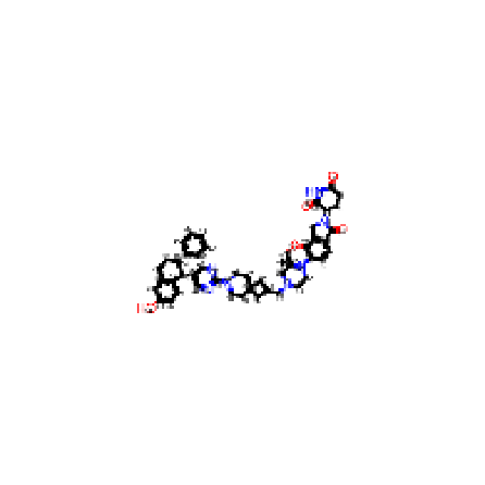 O=C1CC[C@H](N2Cc3c(ccc4c3OC[C@H]3CN(CC5CC6(CCN(c7ncc([C@@H]8c9ccc(O)cc9CC[C@@H]8c8ccccc8)cn7)CC6)C5)CCN43)C2=O)C(=O)N1